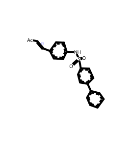 CC(=O)/C=C/c1ccc(NS(=O)(=O)c2ccc(-c3ccccc3)cc2)cc1